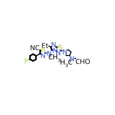 CCc1nc2sc(N3CCC(N(C)CC=O)C3)nn2c1N(C)c1nc(-c2ccc(F)cc2)c(C#N)s1